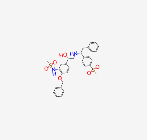 CS(=O)(=O)Nc1cc(C(O)CNC(Cc2ccccc2)c2ccc(S(C)(=O)=O)cc2)ccc1OCc1ccccc1